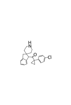 O=C(C1c2ccccc2CC12CCNCC2)C1(c2ccc(Cl)cc2)CC1